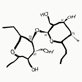 CCC1O[C@@H](O[C@@H]2C(CC)OC(C)C(O)[C@H]2O)C(O)[C@@H](O)[C@@H]1C